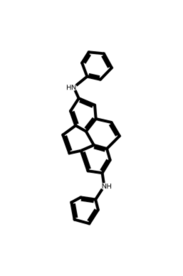 c1ccc(Nc2cc3ccc4cc(Nc5ccccc5)cc5ccc(c2)c3c45)cc1